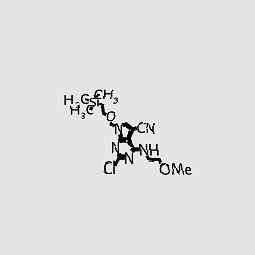 COCCNc1nc(Cl)nc2c1c(C#N)cn2COCC[Si](C)(C)C